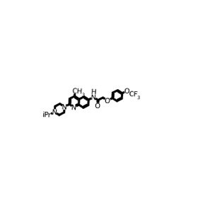 Cc1cc(N2CCN(C(C)C)CC2)nc2ccc(NC(=O)COc3ccc(OC(F)(F)F)cc3)cc12